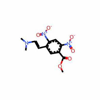 COC(=O)c1cc(/C=C/N(C)C)c([N+](=O)[O-])cc1[N+](=O)[O-]